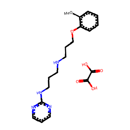 COc1ccccc1OCCCNCCCNc1ncccn1.O=C(O)C(=O)O